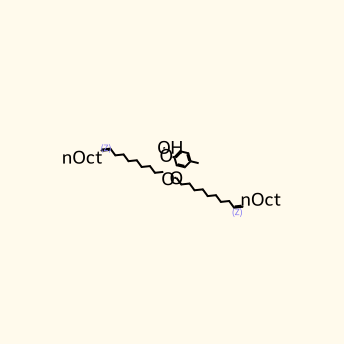 CCCCCCCC/C=C\CCCCCCCCOOCCCCCCCC/C=C\CCCCCCCC.Cc1ccc(OO)cc1